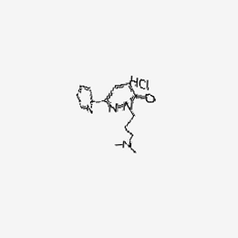 CN(C)CCCn1nc(-c2ccccn2)ccc1=O.Cl